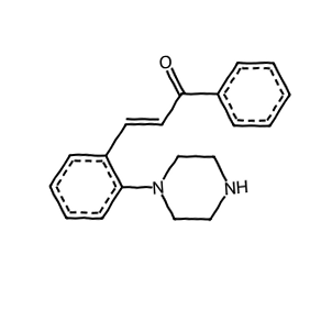 O=C(/C=C/c1ccccc1N1CCNCC1)c1ccccc1